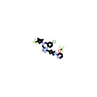 FC(F)(F)Oc1cccnc1N1CC2(CC(c3nnc4n3-c3ccc(Cl)cc3CN(C35CC6(C(F)(F)F)CC36C5)C4)C2)C1